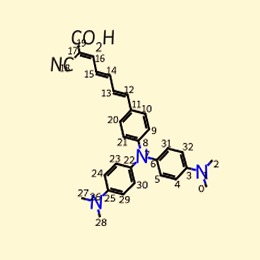 CN(C)c1ccc(N(c2ccc(/C=C/C=C/C=C(\C#N)C(=O)O)cc2)c2ccc(N(C)C)cc2)cc1